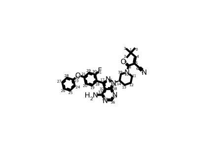 CC(C)(C)/C=C(/C#N)C(=O)N1CCC[C@@H](n2nc(-c3ccc(Oc4ccccc4)cc3F)c3c(N)ncnc32)C1